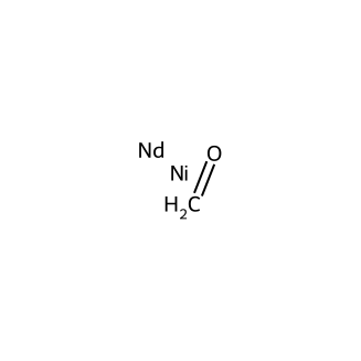 C=O.[Nd].[Ni]